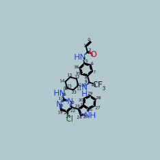 C=CC(=O)Nc1ccc(C(N[C@H]2CCC[C@@H](Nc3ncc(Cl)c(-c4c[nH]c5ccccc45)n3)C2)C(F)(F)F)cc1